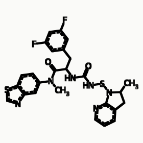 CC1Cc2cccnc2N1SNC(=O)NC(Cc1cc(F)cc(F)c1)C(=O)N(C)c1ccc2scnc2c1